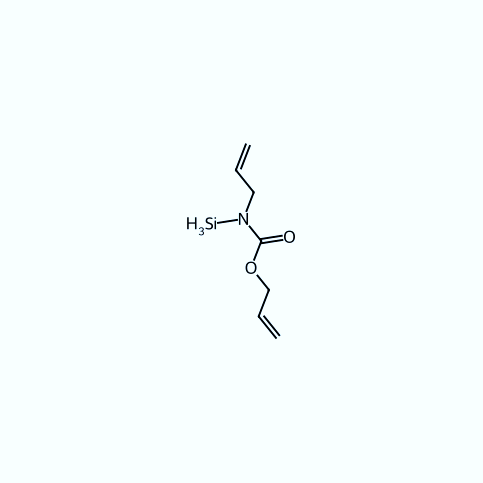 C=CCOC(=O)N([SiH3])CC=C